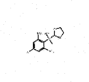 CCC[N+](C)(c1c([N+](=O)[O-])cc(C(F)(F)F)cc1[N+](=O)[O-])C1OCCO1